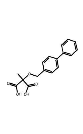 CC(OCc1ccc(-c2ccccc2)cc1)(C(=O)O)C(=O)O